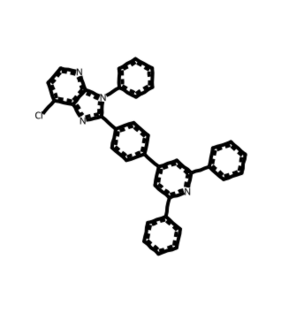 Clc1ccnc2c1nc(-c1ccc(-c3cc(-c4ccccc4)nc(-c4ccccc4)c3)cc1)n2-c1ccccc1